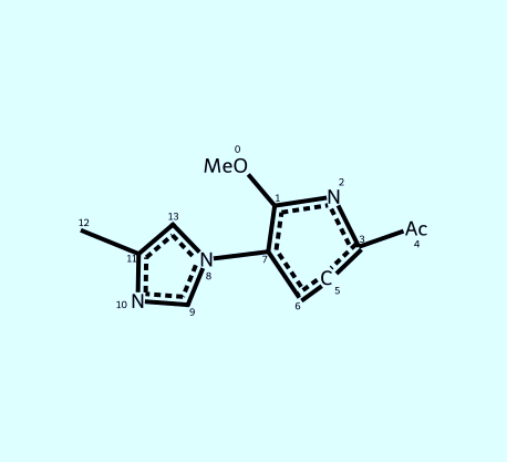 COc1nc(C(C)=O)ccc1-n1cnc(C)c1